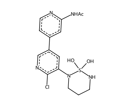 CC(=O)Nc1cc(-c2cnc(Cl)c(N3CCCNS3(O)O)c2)ccn1